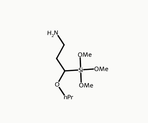 CCCOC(CCN)[Si](OC)(OC)OC